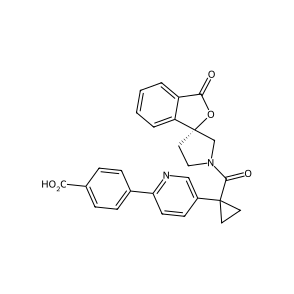 O=C(O)c1ccc(-c2ccc(C3(C(=O)N4CC[C@@]5(C4)OC(=O)c4ccccc45)CC3)cn2)cc1